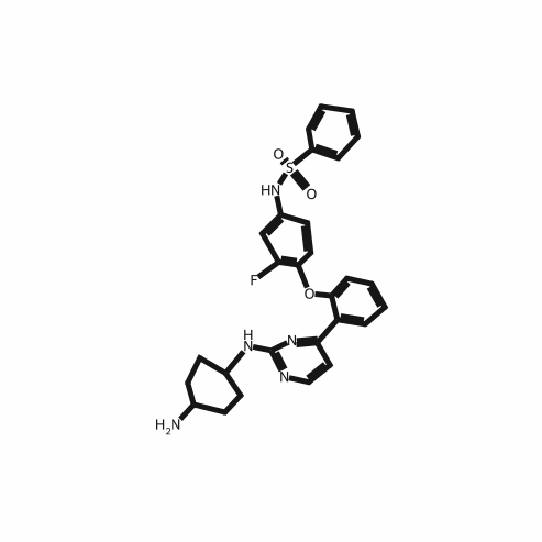 NC1CCC(Nc2nccc(-c3ccccc3Oc3ccc(NS(=O)(=O)c4ccccc4)cc3F)n2)CC1